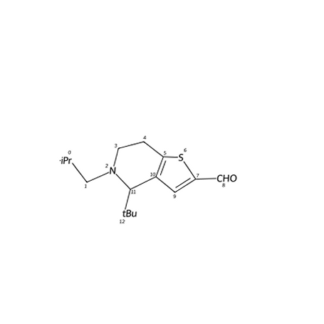 C[C](C)CN1CCc2sc(C=O)cc2C1C(C)(C)C